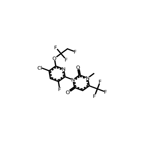 Cn1c(C(F)(F)F)cc(=O)n(-c2nc(OC(F)(F)CF)c(Cl)cc2F)c1=O